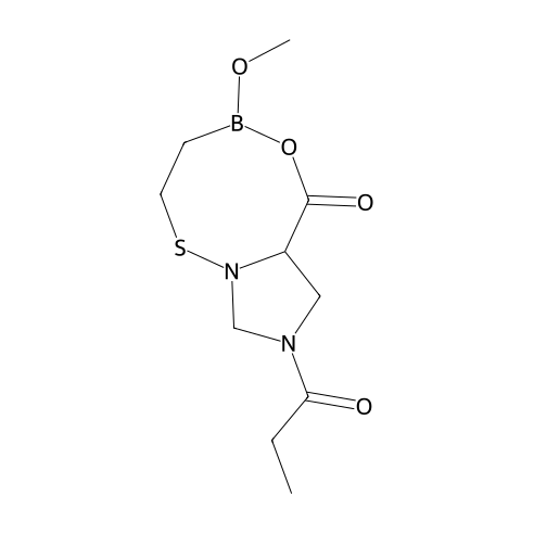 CCC(=O)N1CC2C(=O)OB(OC)CCSN2C1